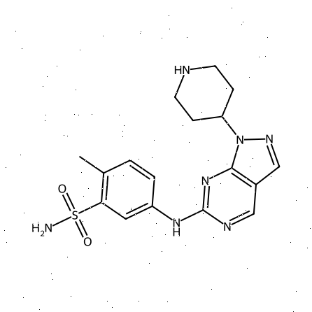 Cc1ccc(Nc2ncc3cnn(C4CCNCC4)c3n2)cc1S(N)(=O)=O